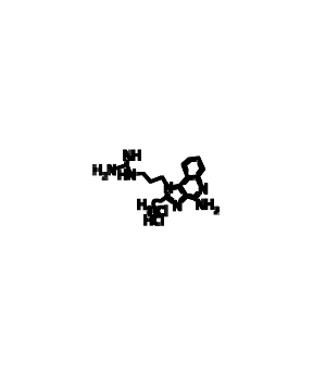 Cc1nc2c(N)nc3ccccc3c2n1CCCNC(=N)N.Cl.Cl